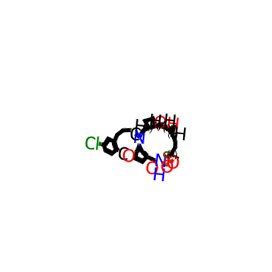 C[C@@H]1CC[C@@H]2C[C@H]2[C@@](C)(O)[C@@H]2CC[C@H]2CN2CCCCc3cc(Cl)ccc3COc3ccc(cc32)C(=O)NS1(=O)=O